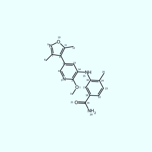 COc1ncc(-c2c(C)noc2C)cc1Nc1cc(C(N)=O)ccc1C